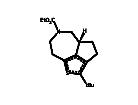 CCOC(=O)N1CCc2sc(C(C)(C)C)c3c2[C@@H](CC3)C1